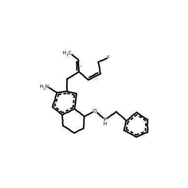 C/C=C(/C=C\CF)Cc1cc2c(cc1N)CCCC2OPCc1ccccc1